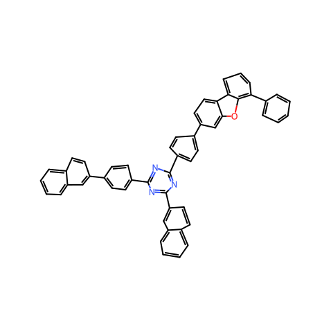 c1ccc(-c2cccc3c2oc2cc(-c4ccc(-c5nc(-c6ccc(-c7ccc8ccccc8c7)cc6)nc(-c6ccc7ccccc7c6)n5)cc4)ccc23)cc1